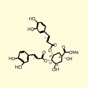 COC(=O)[C@@]1(O)C[C@@H](O)[C@H](OC(=O)/C=C/c2ccc(O)c(O)c2)[C@H](OC(=O)/C=C/c2ccc(O)c(O)c2)C1